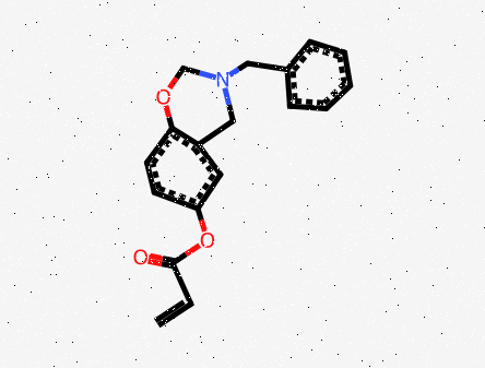 C=CC(=O)Oc1ccc2c(c1)CN(Cc1ccccc1)CO2